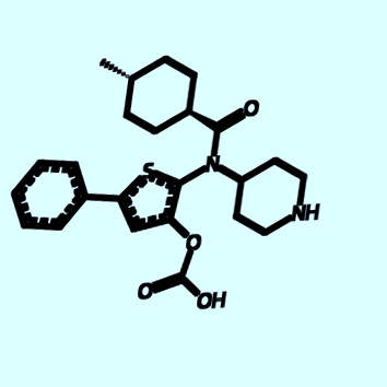 C[C@H]1CC[C@H](C(=O)N(c2sc(-c3ccccc3)cc2OC(=O)O)C2CCNCC2)CC1